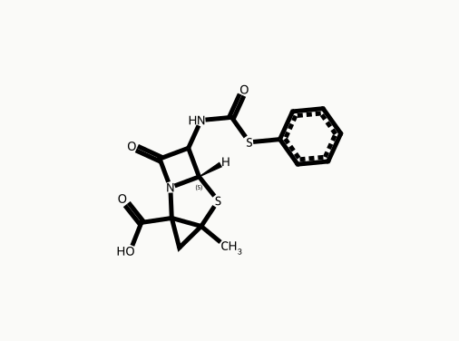 CC12CC1(C(=O)O)N1C(=O)C(NC(=O)Sc3ccccc3)[C@@H]1S2